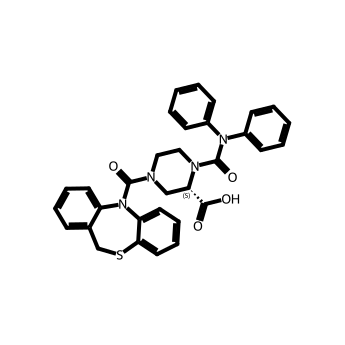 O=C(O)[C@@H]1CN(C(=O)N2c3ccccc3CSc3ccccc32)CCN1C(=O)N(c1ccccc1)c1ccccc1